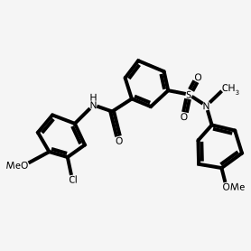 COc1ccc(N(C)S(=O)(=O)c2cccc(C(=O)Nc3ccc(OC)c(Cl)c3)c2)cc1